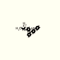 C=C/C=C(\C=C)Nc1cccc(N(c2ccccc2)c2cccc(Nc3ccccc3)c2)c1